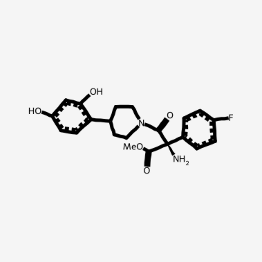 COC(=O)[C@](N)(C(=O)N1CCC(c2ccc(O)cc2O)CC1)c1ccc(F)cc1